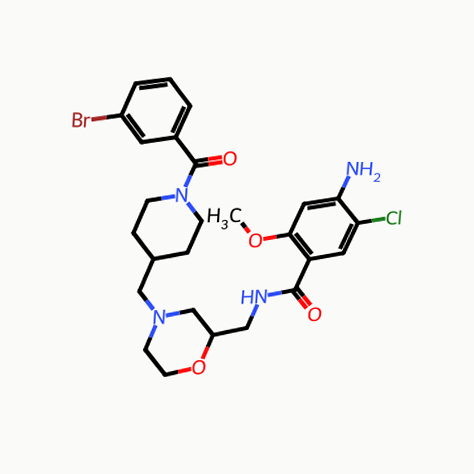 COc1cc(N)c(Cl)cc1C(=O)NCC1CN(CC2CCN(C(=O)c3cccc(Br)c3)CC2)CCO1